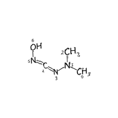 CN(C)N=C=NO